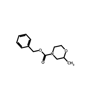 CC1CN(C(=O)OCc2ccccc2)CCO1